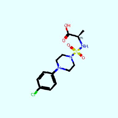 C[C@@H](NS(=O)(=O)N1CCN(c2ccc(Cl)cc2)CC1)C(=O)O